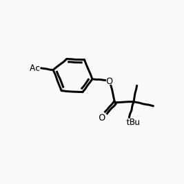 CC(=O)c1ccc(OC(=O)C(C)(C)C(C)(C)C)cc1